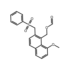 COc1cccc2ccc(CS(=O)(=O)c3ccccc3)c(COC=O)c12